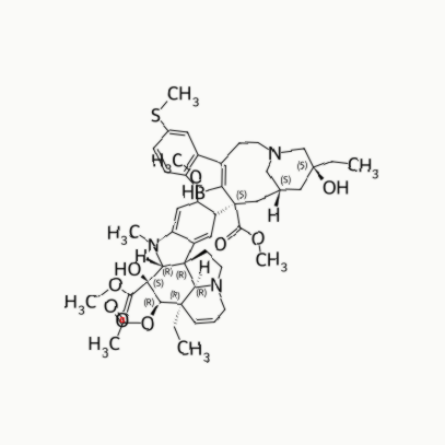 CC[C@]1(O)C[C@H]2CN(CCC3=C(Bc4ccc(SC)cc43)[C@@](C(=O)OC)(C3C=C4C(=CC3OC)N(C)[C@H]3[C@@](O)(C(=O)OC)[C@H](OC(C)=O)[C@]5(CC)C=CCN6CC[C@]43[C@@H]65)C2)C1